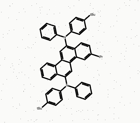 CC(C)c1ccc2c(N(c3ccccc3)c3ccc(C(C)(C)C)cc3)cc3c4ccccc4c(N(c4ccccc4)c4ccc(C(C)(C)C)cc4)cc3c2c1